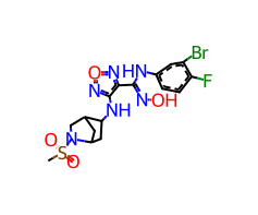 CS(=O)(=O)N1CC2CC1CC2Nc1nonc1C(=NO)Nc1ccc(F)c(Br)c1